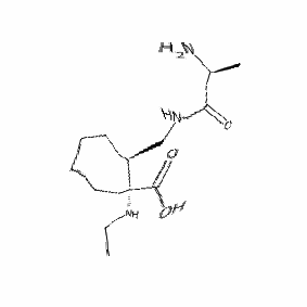 CCN[C@]1(C(=O)O)CCCC[C@H]1CNC(=O)[C@H](C)N